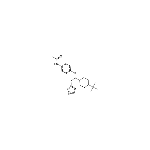 CC(=O)Nc1ccc(OC(Cn2ccnc2)C2CCC(C(C)(C)C)CC2)cc1